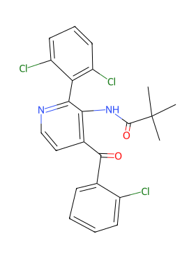 CC(C)(C)C(=O)Nc1c(C(=O)c2ccccc2Cl)ccnc1-c1c(Cl)cccc1Cl